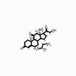 C[C@]12CCC(=O)C=C1CCC1C2C(=O)C[C@@]2(C)C1CC[C@]2(O)C(=O)CO.NCCN.[Pt]